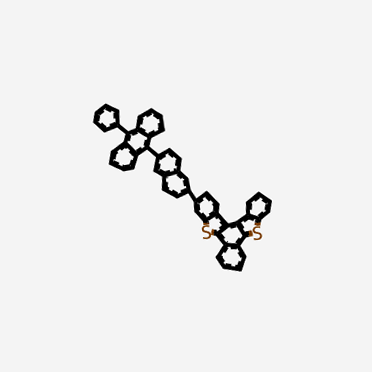 c1ccc(-c2c3ccccc3c(-c3ccc4cc(-c5ccc6c(c5)sc5c7ccccc7c7sc8ccccc8c7c65)ccc4c3)c3ccccc23)cc1